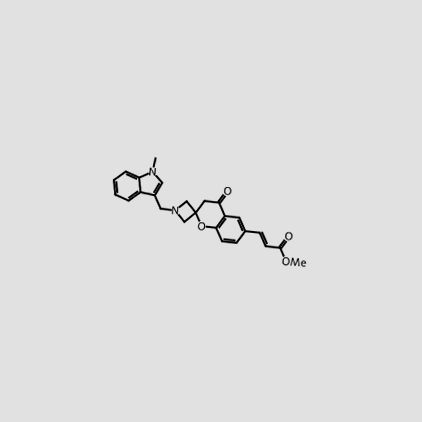 COC(=O)C=Cc1ccc2c(c1)C(=O)CC1(CN(Cc3cn(C)c4ccccc34)C1)O2